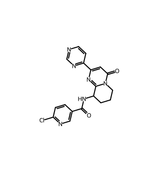 O=C(NC1CCCn2c1nc(-c1ccncn1)cc2=O)c1ccc(Cl)nc1